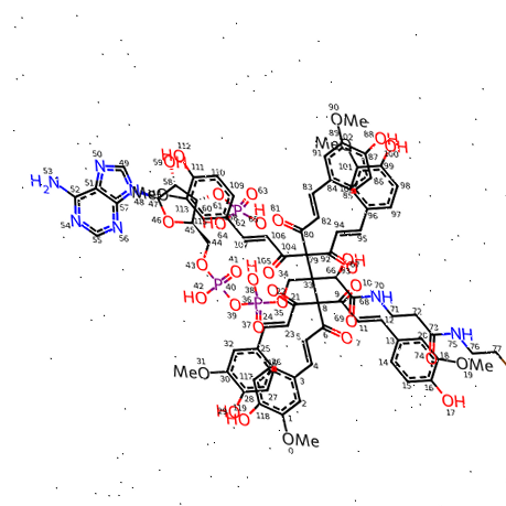 COc1cc(/C=C/C(=O)C(C(=O)/C=C/c2ccc(O)c(OC)c2)(C(=O)/C=C/c2ccc(O)c(OC)c2)C(COP(=O)(O)OP(=O)(O)OC[C@H]2O[C@@H](n3cnc4c(N)ncnc43)[C@H](O)[C@@H]2OP(=O)(O)O)([C@@H](O)C(=O)NCCC(=O)NCCS)C(C(=O)/C=C/c2ccc(O)c(OC)c2)(C(=O)/C=C/c2ccc(O)c(OC)c2)C(=O)/C=C/c2ccc(O)c(OC)c2)ccc1O